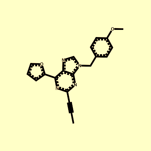 CC#Cc1nc(-c2ccco2)c2ncn(Cc3ccc(OC)cc3)c2n1